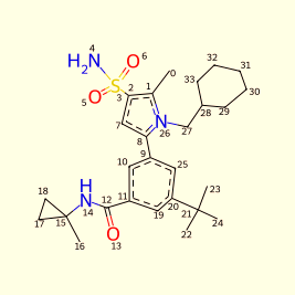 Cc1c(S(N)(=O)=O)cc(-c2cc(C(=O)NC3(C)CC3)cc(C(C)(C)C)c2)n1CC1CCCCC1